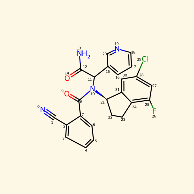 N#Cc1ccccc1C(=O)N(C(C(N)=O)c1cccnc1)[C@@H]1CCc2c(F)cc(Cl)cc21